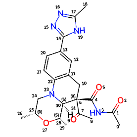 CC(=O)NC(=O)[C@]1(C(C)=O)Cc2cc(-c3nnc(C)[nH]3)ccc2N2C[C@@H](C)O[C@@H](C)[C@@H]21